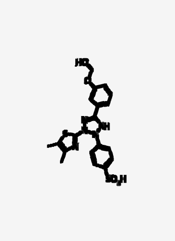 Cc1nc(N2N=C(c3cccc(OCO)c3)NN2c2ccc(S(=O)(=O)O)cc2)sc1C